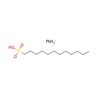 CCCCCCCCCCCCS(=O)(=O)O.[PbH2]